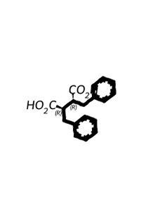 O=C(O)[C@H](Cc1ccccc1)[C@@H](Cc1ccccc1)C(=O)O